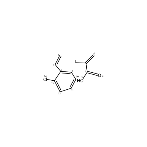 C=C(C)C(=O)O.C=Cc1ccccc1Cl